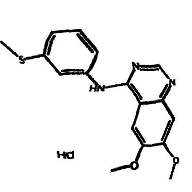 COc1cc2ncnc(Nc3cccc(SC)c3)c2cc1OC.Cl